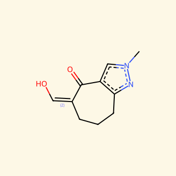 Cn1cc2c(n1)CCC/C(=C/O)C2=O